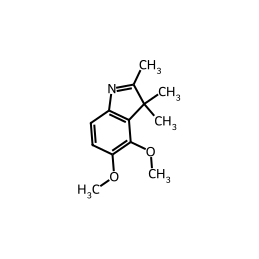 COc1ccc2c(c1OC)C(C)(C)C(C)=N2